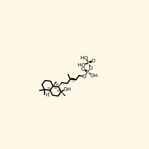 C/C(=C\COP(=O)(O)OP(=O)(O)O)CC[C@@H]1[C@@]2(C)CCCC(C)(C)[C@@H]2CC[C@@]1(C)O